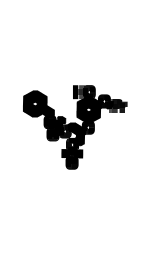 CC(C)Oc1cc(OC(COP(C)(C)=O)COP(C)(=O)OCc2ccccc2)ccc1O